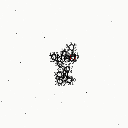 c1ccc(-c2ccccc2-c2ccc(-n3c4ccccc4c4ccc(-c5cccc6c5c5ccccc5n6-c5ccccc5-c5ccccc5)cc43)c3oc4ccccc4c23)cc1